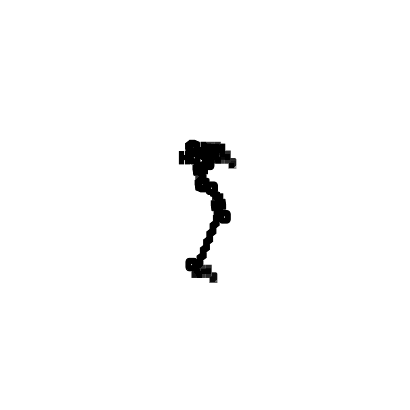 N=C(N)/C(=C\C(=N)c1ccccc1O)OC1CCCN(c2cccc(OCCN3CCN(C(=O)CCCCCCCCCCCCC(N)=O)CC3)c2)C1